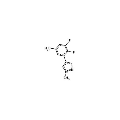 Cc1cc(F)c(F)c(-c2cnn(C)c2)c1